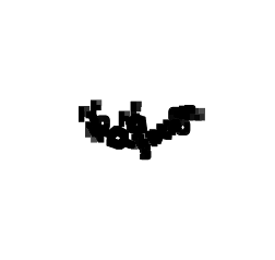 CC(C)(C)OC(=O)N1CC2(C1)CN(C(=S)N(Cc1ccc(-c3nnc(C(F)F)o3)cc1)c1ccc(F)c(F)c1)C2